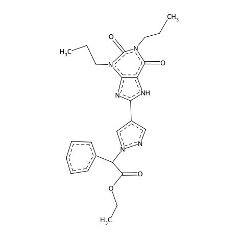 CCCn1c(=O)c2[nH]c(-c3cnn(C(C(=O)OCC)c4ccccc4)c3)nc2n(CCC)c1=O